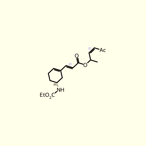 CCOC(=O)N[C@@H]1CCC=C(/C=C/C(=O)OC(C)/C=C\C(C)=O)C1